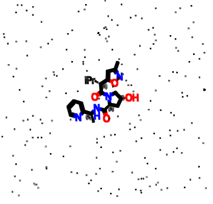 Cc1cc([C@H](C(=O)N2C[C@H](O)C[C@H]2C(=O)N[C@@H](C)c2ccccn2)C(C)C)on1